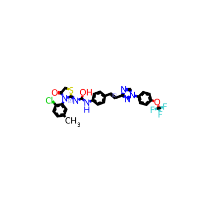 Cc1ccc(Cl)c(N2C(=O)CS/C2=N\C(O)Nc2ccc(/C=C/c3ncn(-c4ccc(OC(F)(F)F)cc4)n3)cc2)c1